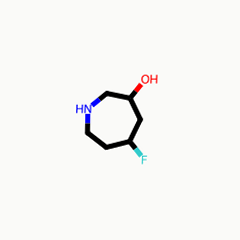 OC1CNCCC(F)C1